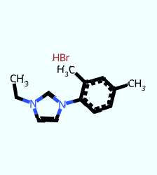 Br.CCN1C=CN(c2ccc(C)cc2C)C1